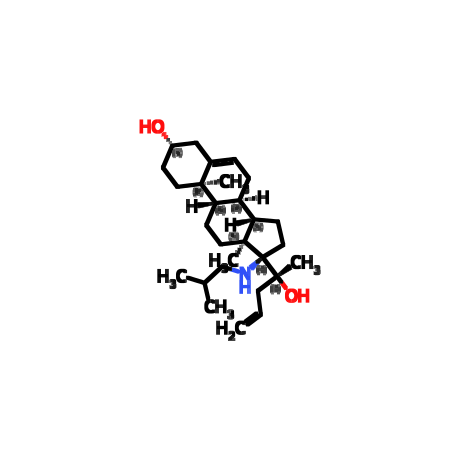 C=CC[C@@](C)(O)[C@@]1(NCC(C)C)CC[C@H]2[C@@H]3CC=C4C[C@@H](O)CC[C@]4(C)[C@H]3CC[C@@]21C